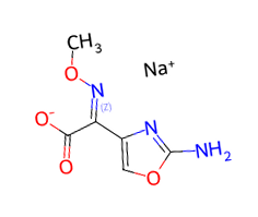 CO/N=C(\C(=O)[O-])c1coc(N)n1.[Na+]